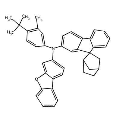 Cc1cc(N(c2ccc3c(c2)C2(CC4CCC2C4)c2ccccc2-3)c2ccc3c(c2)oc2ccccc23)ccc1C(C)(C)C